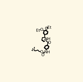 CCOc1ccc(C2CC=CN(C(=O)c3ccc(NC(=O)OCCCN(C)C)cc3)N2)cc1OCC